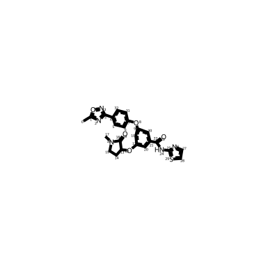 Cc1nc(-c2ccc(Oc3cc(OC4CCN(C)C4=O)cc(C(=O)Nc4nccs4)c3)cc2)no1